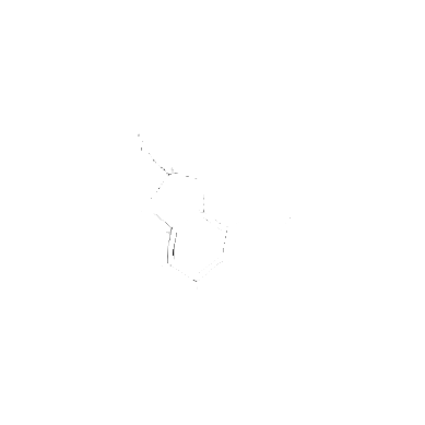 CCOC(=O)c1cccc2c1OC(F)O2